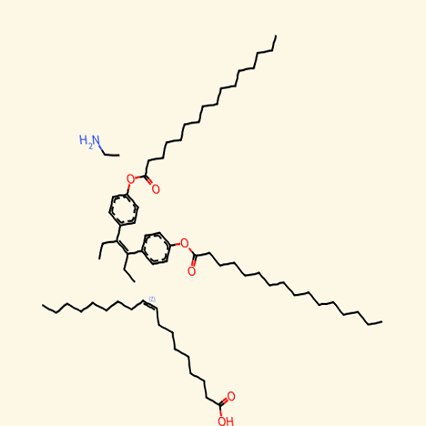 CCCCCCCC/C=C\CCCCCCCC(=O)O.CCCCCCCCCCCCCCCC(=O)Oc1ccc(C(CC)=C(CC)c2ccc(OC(=O)CCCCCCCCCCCCCCC)cc2)cc1.CCN